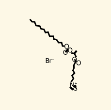 C=C(COC(=O)CCCCCCC[n+]1ccsc1)COC(=O)OCCCCCCCCCCCCCCCC.[Br-]